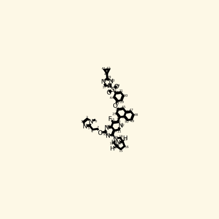 Cn1ccnc1CCOc1nc(N2C[C@H]3CC[C@@H](C2)N3)c2cnc(-c3cc(Oc4cccc(S(=O)(=O)n5cnc(C6CC6)n5)c4)cc4ccccc34)c(F)c2n1